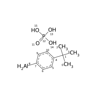 CC(C)(C)c1cc[c]([AlH2])cc1.O=P(O)(O)O